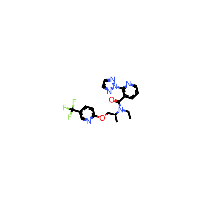 CCN(C(=O)c1cccnc1-n1nccn1)C(C)COc1ccc(C(F)(F)F)cn1